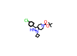 CC(C)(C)OC(=O)N1CCC2=C(CC1)N(C1CCC1)NC2c1ccc(Cl)cc1